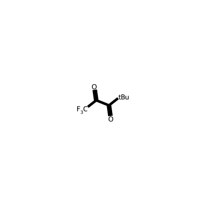 CC(C)(C)C(=O)C(=O)C(F)(F)F